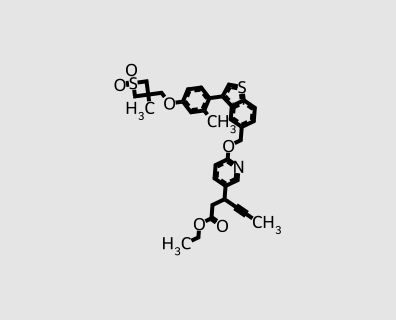 CC#CC(CC(=O)OCC)c1ccc(OCc2ccc3scc(-c4ccc(OCC5(C)CS(=O)(=O)C5)cc4C)c3c2)nc1